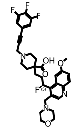 COc1ccc2ncc(CN3CCOCC3)c([C@@H](F)CCC3(C(=O)O)CCN(CC#Cc4cc(F)c(F)c(F)c4)CC3)c2c1